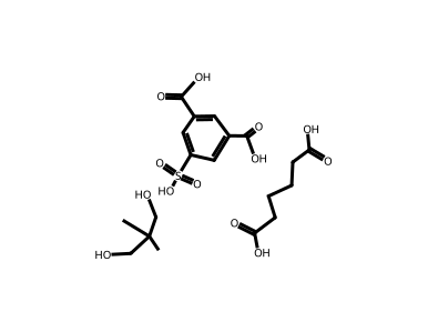 CC(C)(CO)CO.O=C(O)CCCCC(=O)O.O=C(O)c1cc(C(=O)O)cc(S(=O)(=O)O)c1